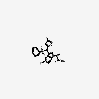 COC(=O)C(C)n1cc(C(c2cc(Cl)ns2)S(=O)(=O)c2ccccc2)c2cc(F)ccc21